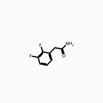 NC(=O)Cc1cccc(F)c1F